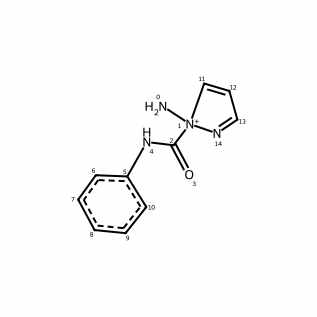 N[N+]1(C(=O)Nc2ccccc2)C=CC=N1